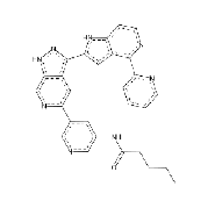 CCCCC(=O)Nc1cncc(-c2cc3c(-c4cc5c(-c6ccccn6)nccc5[nH]4)n[nH]c3cn2)c1